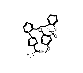 COc1ccc(Cl)c(S(=O)(=O)Nc2ccccc2SCCc2ccccc2-c2ccc(C(=N)N)cc2)c1